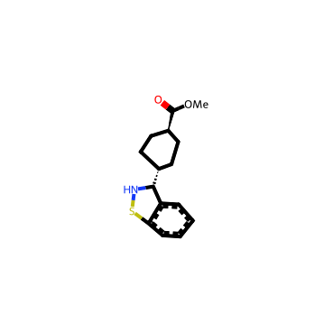 COC(=O)[C@H]1CC[C@H](C2NSc3ccccc32)CC1